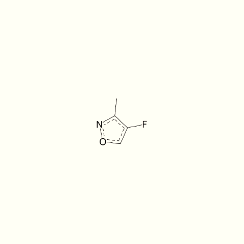 Cc1nocc1F